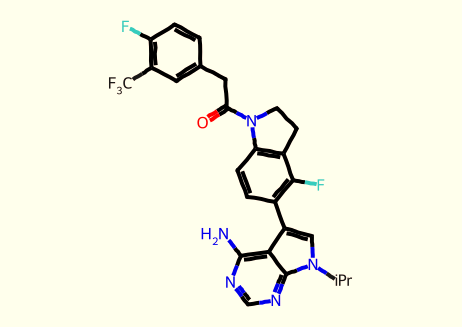 CC(C)n1cc(-c2ccc3c(c2F)CCN3C(=O)Cc2ccc(F)c(C(F)(F)F)c2)c2c(N)ncnc21